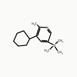 Cc1ncc([Si](C)(C)C)cc1C1CCCCC1